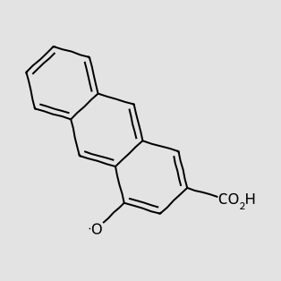 [O]c1cc(C(=O)O)cc2cc3ccccc3cc12